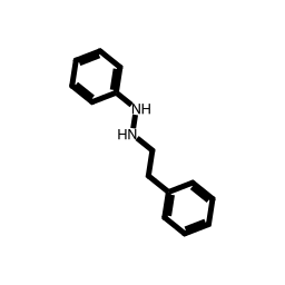 c1ccc(CCNNc2ccccc2)cc1